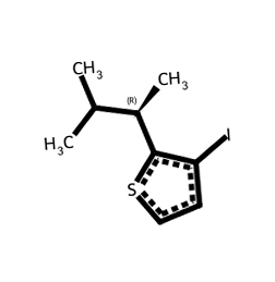 CC(C)[C@@H](C)c1sccc1I